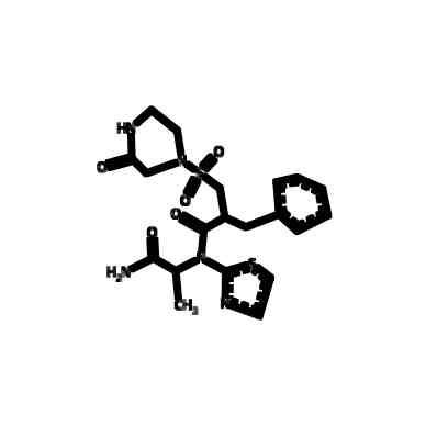 CC(C(N)=O)N(C(=O)C(Cc1ccccc1)CS(=O)(=O)N1CCNC(=O)C1)c1nccs1